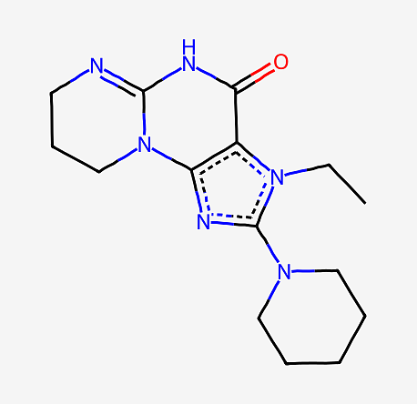 CCn1c(N2CCCCC2)nc2c1C(=O)NC1=NCCCN12